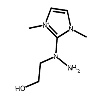 Cn1cc[n+](C)c1N(N)CCO